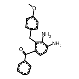 COc1ccc(Cc2c(C(=O)c3ccccc3)ccc(N)c2N)cc1